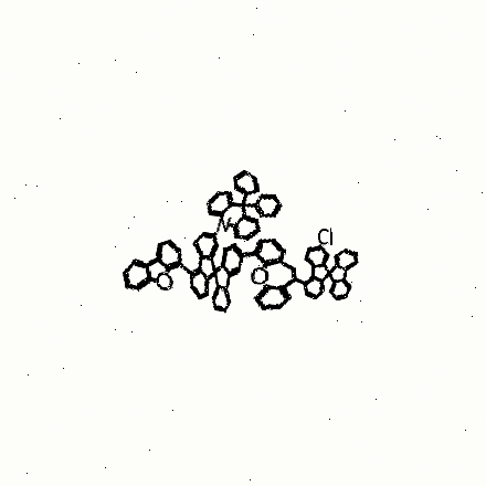 Clc1ccc2c(c1)C1(c3ccccc3-c3ccccc31)c1cccc(C3Cc4cccc(-c5ccc6c(c5)-c5ccccc5C65c6cc(N7c8ccccc8C(c8ccccc8)(c8ccccc8)c8ccccc87)ccc6-c6c(-c7cccc8c7oc7ccccc78)cccc65)c4Oc4ccccc43)c1-2